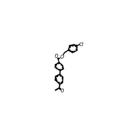 CC(=O)c1ccc(-c2ccc(C(=O)OCc3ccc(Cl)cc3)cc2)cc1